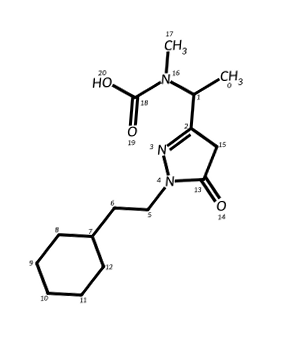 CC(C1=NN(CCC2CCCCC2)C(=O)C1)N(C)C(=O)O